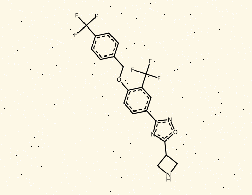 FC(F)(F)c1ccc(COc2ccc(-c3noc(C4CNC4)n3)cc2C(F)(F)F)cc1